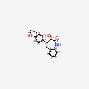 COc1ccc([C@@H]2Cc3ccccc3NC(=O)[C@H]2O)cc1